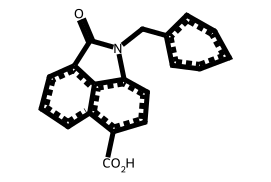 O=C(O)c1ccc2c3c(cccc13)C(=O)N2Cc1ccccc1